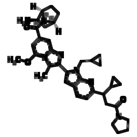 COc1cc(C(=O)N2[C@H]3CC[C@@H]2[C@H](N)C3)cc2nc(-c3cc4ccc(C(CC(=O)N5CCCC5)C5CC5)nc4n3CC3CC3)c(C)n12